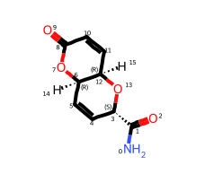 NC(=O)[C@@H]1C=C[C@H]2OC(=O)C=C[C@H]2O1